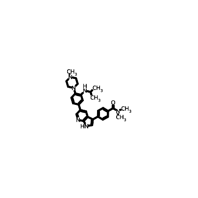 CC(C)Nc1cc(-c2cnc3[nH]cc(-c4ccc(C(=O)N(C)C)cc4)c3c2)ccc1N1CCN(C)CC1